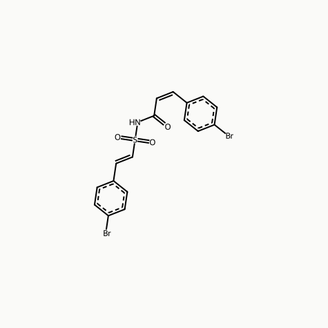 O=C(/C=C\c1ccc(Br)cc1)NS(=O)(=O)/C=C/c1ccc(Br)cc1